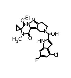 CCOCC1(N(C)C(=O)c2[nH]nc3c2CN(C(O)c2cc4c(Cl)cc(F)cc4[nH]2)CC3)CC1